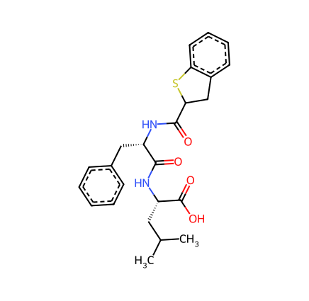 CC(C)C[C@H](NC(=O)[C@H](Cc1ccccc1)NC(=O)C1Cc2ccccc2S1)C(=O)O